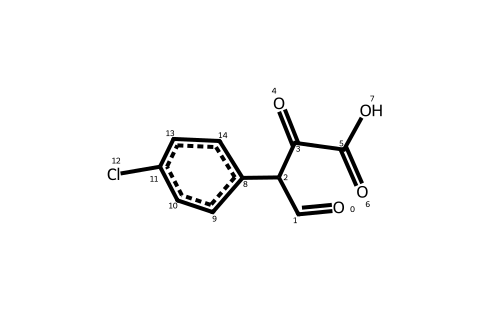 O=CC(C(=O)C(=O)O)c1ccc(Cl)cc1